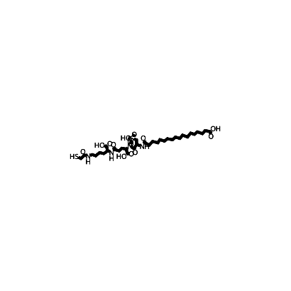 O=C(O)CCCCCCCCCCCCCCCCC(=O)NC(CS(=O)(=O)O)C(=O)NC(CCC(=O)NC(CCCCNC(=O)CS)C(=O)O)C(=O)O